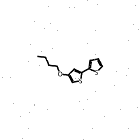 CCCCOc1csc(-c2cccs2)c1